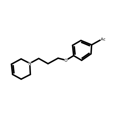 CC(=O)c1ccc(OCCCN2CC=CCC2)cc1